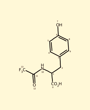 O=C(O)C(Cc1ccc(O)cc1)NC(=O)C(F)(F)F